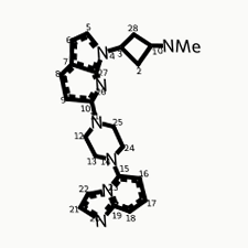 CNC1CC(n2ccc3ccc(N4CCN(c5cccc6nccn56)CC4)nc32)C1